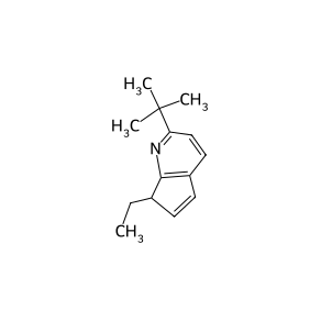 CCC1C=Cc2ccc(C(C)(C)C)nc21